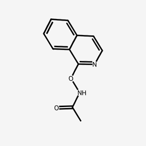 CC(=O)NOc1nccc2ccccc12